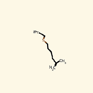 C=C(C)CCCCSCC(C)C